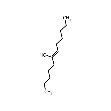 CCCCCC=C(O)CCCCC